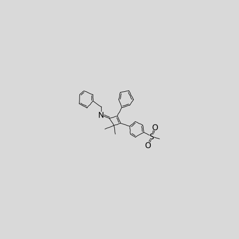 CC1(C)C(=NCc2ccccc2)C(c2ccccc2)=C1c1ccc(S(C)(=O)=O)cc1